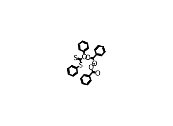 O=C(OOC(=O)c1ccccc1)c1ccccc1.S=C(Oc1ccccc1)Sc1ccccc1